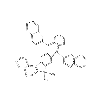 C[Si]1(C)c2cc3c(-c4ccc5ccccc5c4)c4ccccc4c(C4=CC=C5C=CC=CC5C4)c3cc2-c2c1ccc1ccccc21